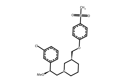 CO[C@H](CN1CCC[C@H](COc2ccc(S(C)(=O)=O)cc2)C1)c1cccc(Cl)c1